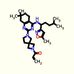 C=CC(=O)N1CC2(CCN(c3nc4c(c(NC(CCC(C)C)c5cc(C)on5)n3)CCC(C)(C)C4)C2)C1